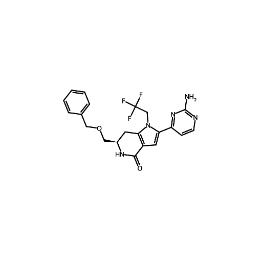 Nc1nccc(-c2cc3c(n2CC(F)(F)F)C[C@H](COCc2ccccc2)NC3=O)n1